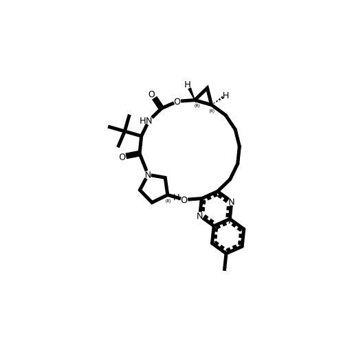 Cc1ccc2nc3c(nc2c1)O[C@@H]1CCN(C1)C(=O)C(C(C)(C)C)NC(=O)O[C@@H]1C[C@H]1CCCCC3